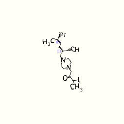 C#C/C(=C\C=C(/C)C(C)C)CN1CCN(CC(=O)C(C)I)CC1